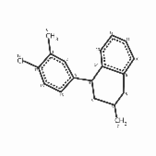 Cc1cc(C2CC(C)Cc3ccccc32)ccc1Cl